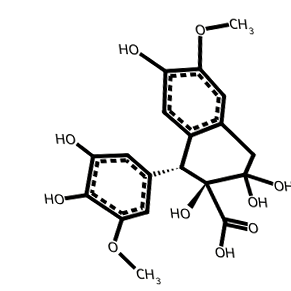 COc1cc2c(cc1O)[C@@H](c1cc(O)c(O)c(OC)c1)[C@@](O)(C(=O)O)C(O)(O)C2